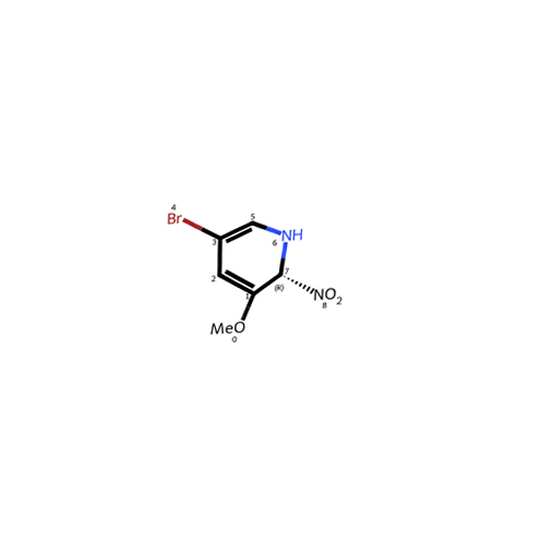 COC1=CC(Br)=CN[C@@H]1[N+](=O)[O-]